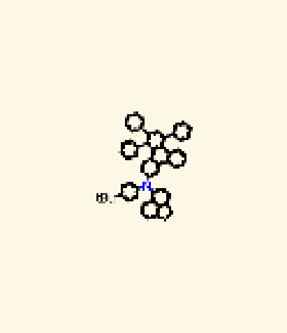 CC(C)(C)c1ccc(N(c2ccc3c(c2)c2ccccc2c2c(-c4ccccc4)cc(-c4ccccc4)c(-c4ccccc4)c32)c2ccc3c4c(cccc24)CC3)cc1